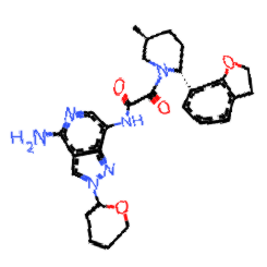 C[C@H]1CC[C@H](c2cccc3c2OCC3)N(C(=O)C(=O)Nc2cnc(N)c3cn(C4CCCCO4)nc23)C1